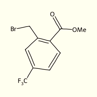 COC(=O)c1ccc(C(F)(F)F)cc1CBr